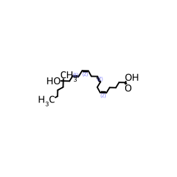 CCCCC(C)(O)C/C=C/C=C\C/C=C\C/C=C\CCCC(=O)O